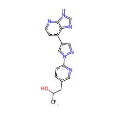 OC(Cc1ccc(-n2cc(-c3ccnc4[nH]cnc34)cn2)nc1)C(F)(F)F